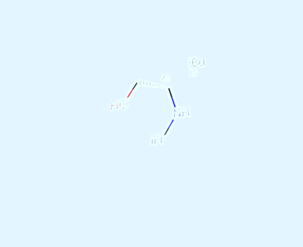 CC[C@H](C)[C@@H](CO)NC(C)C